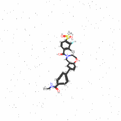 CCc1c(C(=O)N2CCOc3ccc(-c4ccc(C(=O)NCC(C)C)cc4)cc3C2)ccc(S(C)(=O)=O)c1F